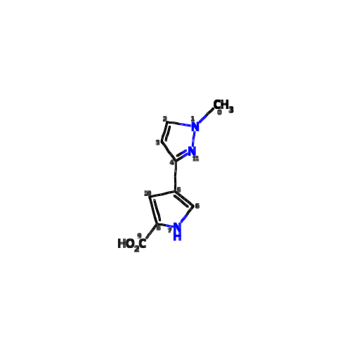 Cn1ccc(-c2c[nH]c(C(=O)O)c2)n1